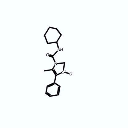 CC1=C(c2ccccc2)[S+]([O-])CN1C(=O)NC1CCCCC1